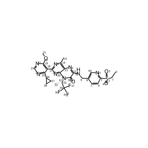 CCS(=O)(=O)c1ccc(CNc2nc3c(C)nc(-c4c(OC)ncnc4C4CC4)nc3n([C@@H](C)C(F)(F)F)c2=O)cn1